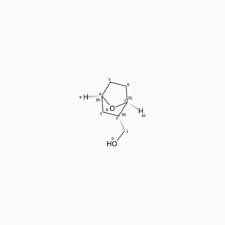 OC[C@@H]1C[C@H]2CC[C@@H]1O2